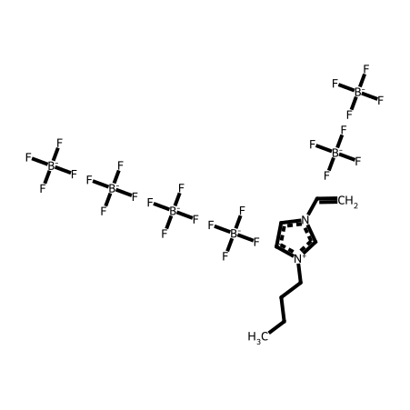 C=Cn1cc[n+](CCCC)c1.F[B-](F)(F)F.F[B-](F)(F)F.F[B-](F)(F)F.F[B-](F)(F)F.F[B-](F)(F)F.F[B-](F)(F)F